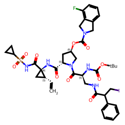 C=C[C@@H]1C[C@]1(NC(=O)[C@@H]1C[C@@H](OC(=O)N2Cc3cccc(F)c3C2)CN1C(=O)[C@H](CNC(=O)C(CI)c1ccccc1)NC(=O)OC(C)(C)C)C(=O)NS(=O)(=O)C1CC1